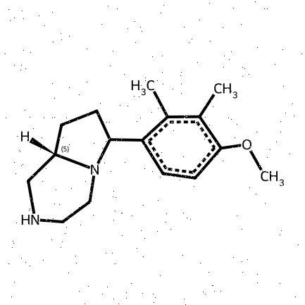 COc1ccc(C2CC[C@H]3CNCCN23)c(C)c1C